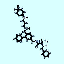 C[C@H](NCc1ccccn1)C(=O)NCc1ccc(CNCCCNC2CCC(F)(F)CC2)c(-c2ccccc2)c1